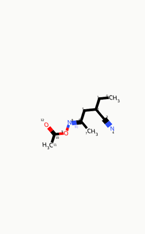 CCC(C#N)C/C(C)=N/OC(C)=O